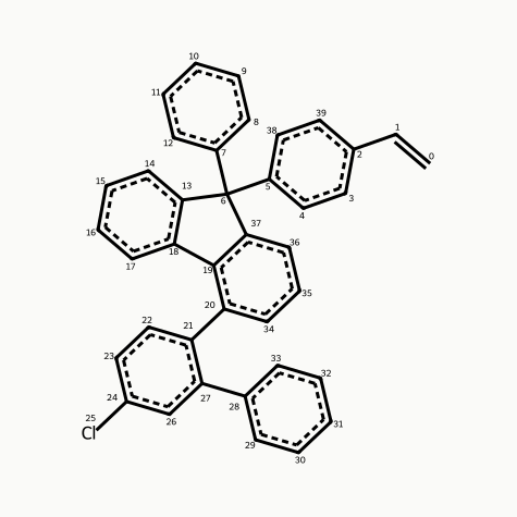 C=Cc1ccc(C2(c3ccccc3)c3ccccc3-c3c(-c4ccc(Cl)cc4-c4ccccc4)cccc32)cc1